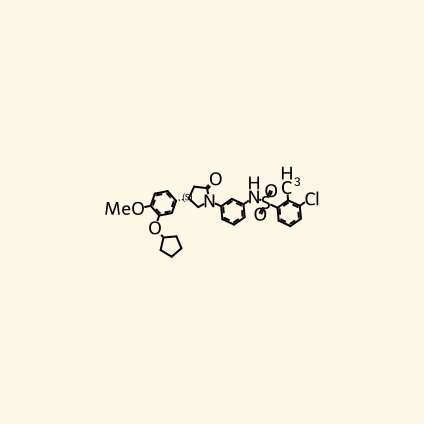 COc1ccc([C@@H]2CC(=O)N(c3cccc(NS(=O)(=O)c4cccc(Cl)c4C)c3)C2)cc1OC1CCCC1